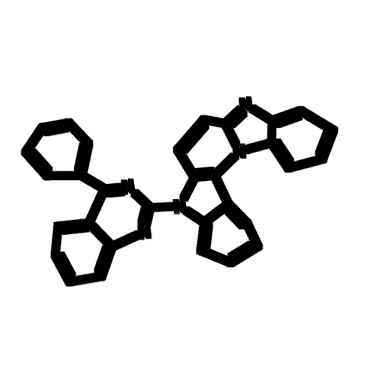 c1ccc(-c2nc(-n3c4ccccc4c4c3ccc3nc5ccccc5n34)nc3ccccc23)cc1